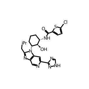 CC(C)Cc1nc2cnc(-c3nc[nH]n3)cc2n1[C@@H]1CCC[C@H](NC(=O)c2ccc(Cl)s2)[C@H]1O